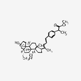 CC[C@H]1[C@@H](O)[C@@H]2[C@H](CC[C@]3(C)[C@@H]([C@H](C)C/C=C/c4ccc(C(C)C(=O)OC)cc4)CC[C@@H]23)[C@@]2(C)CC[C@@H](O)C[C@@H]12